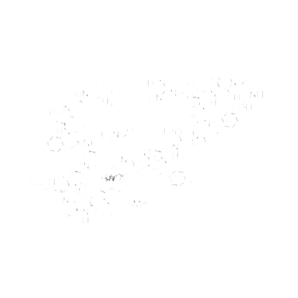 CSCC[C@H](NC(=O)[C@H](CC(=O)O)NC(=O)[C@@H](NC(=O)[C@@H]1CCCN1C(=O)[C@H](CCSC)NC(=O)[C@@H]1CCCN1C(=O)[C@H](CCC(N)=O)NC(=O)[C@H](Cc1ccc(O)cc1)NC(=O)[C@H](CO)NC(=O)CNC(=O)[C@H](Cc1ccc(O)cc1)NC(=O)[C@H](CCCNC(=N)N)NC(=O)[C@H](C)NC(=O)[C@H](C)NC(=O)CN)C(C)C)C(=O)NCC(=O)N[C@@H](Cc1ccccc1)C(=O)N[C@@H](CO)C(=O)N1CCC[C@H]1C(=O)N[C@@H](C)C(=O)O